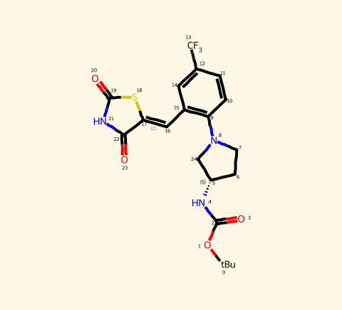 CC(C)(C)OC(=O)N[C@H]1CCN(c2ccc(C(F)(F)F)cc2/C=C2\SC(=O)NC2=O)C1